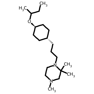 CCC(C)O[C@H]1CC[C@H](CCCN2CCN(C)CC2(C)C)CC1